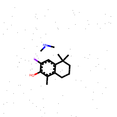 CNC.Cc1c(O)c(I)cc2c1CCCC2(C)C